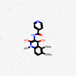 CCCN1C(O)=C(NC(=O)c2ccncc2)C(O)c2c1ccc(OC)c2OC